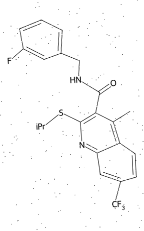 Cc1c(C(=O)NCc2cccc(F)c2)c(SC(C)C)nc2cc(C(F)(F)F)ccc12